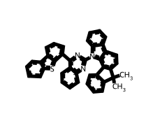 CC1(C)c2ccccc2-c2c1ccc1c3ccccc3n(-c3nc(-c4cccc5c4sc4ccccc45)c4ccccc4n3)c21